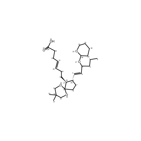 CCCC(C=C[C@@H]1CCC2(OCC(C)(C)CO2)[C@H]1CCC=CCCC(=O)O)OC1CCCCO1